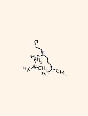 CC(C)=CCC/C(C)=C/CCl.CN(C)C